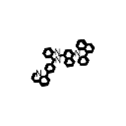 c1ccc2c(c1)-c1cccc3cccc(c13)N2c1ccc(-c2nc(-c3ccc(-c4cccc5cccnc45)cc3)c3ccccc3n2)c2ccccc12